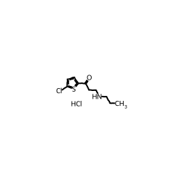 CCCNCCC(=O)c1ccc(Cl)s1.Cl